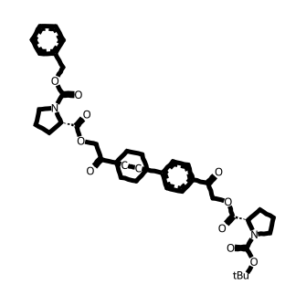 CC(C)(C)OC(=O)N1CCC[C@H]1C(=O)OCC(=O)c1ccc(C23CCC(C(=O)COC(=O)[C@@H]4CCCN4C(=O)OCc4ccccc4)(CC2)CC3)cc1